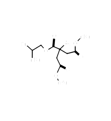 CCCCOC(=O)CC(CC(=O)OCCCC)(C(C)=O)C(=O)OCC(CC)CCCC